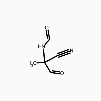 CC(C#N)(C=O)NC=O